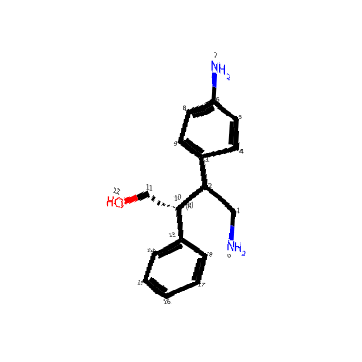 NCC(c1ccc(N)cc1)[C@@H](CO)c1ccccc1